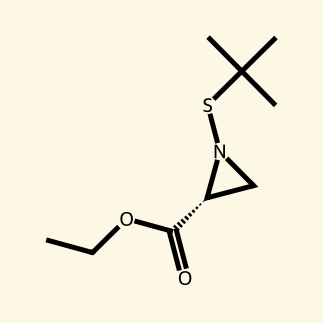 CCOC(=O)[C@H]1CN1SC(C)(C)C